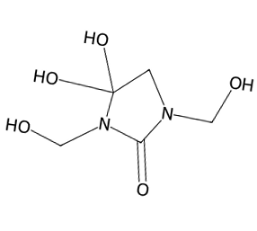 O=C1N(CO)CC(O)(O)N1CO